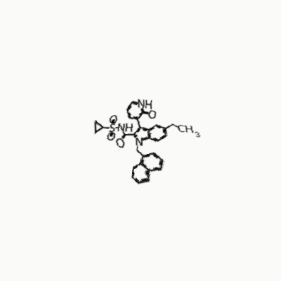 CCc1ccc2c(c1)c(-c1ccc[nH]c1=O)c(C(=O)NS(=O)(=O)C1CC1)n2Cc1cccc2ccccc12